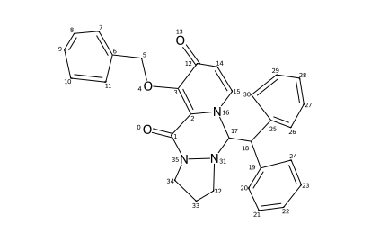 O=C1c2c(OCc3ccccc3)c(=O)ccn2C(C(c2ccccc2)c2ccccc2)N2CCCN12